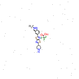 Cn1cc2cc(-c3nc4sc(C5CCNCC5)nc4s3)ccc2n1.O=C(O)C(F)(F)F